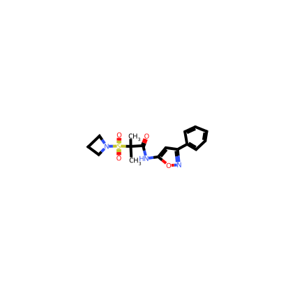 CC(C)(C(=O)Nc1cc(-c2ccccc2)no1)S(=O)(=O)N1CCC1